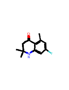 Cc1cc(F)cc2c1C(=O)CC(C)(C)N2